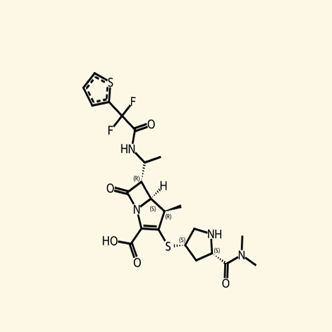 CC(NC(=O)C(F)(F)c1cccs1)[C@H]1C(=O)N2C(C(=O)O)=C(S[C@@H]3CN[C@H](C(=O)N(C)C)C3)[C@H](C)[C@H]12